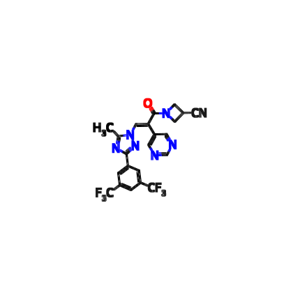 Cc1nc(-c2cc(C(F)(F)F)cc(C(F)(F)F)c2)nn1C=C(C(=O)N1CC(C#N)C1)c1cncnc1